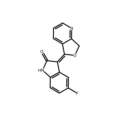 O=C1Nc2ccc(F)cc2C1=C1OCc2ncccc21